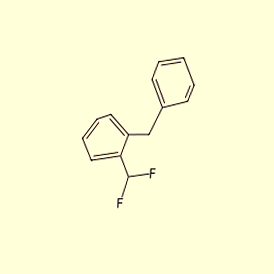 FC(F)c1ccccc1Cc1ccccc1